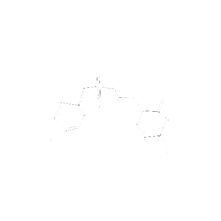 Cc1ccc(CS(=O)(=O)NCCn2ccc(=O)[nH]c2=O)cc1